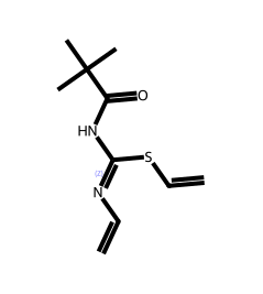 C=C/N=C(/NC(=O)C(C)(C)C)SC=C